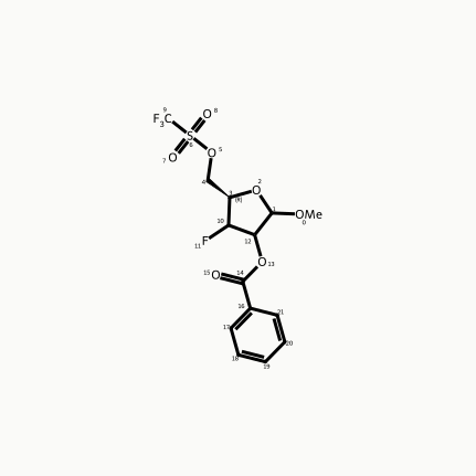 COC1O[C@H](COS(=O)(=O)C(F)(F)F)C(F)C1OC(=O)c1ccccc1